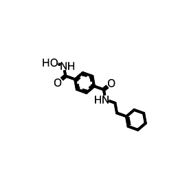 O=C(NO)c1ccc(C(=O)NCCC2=CCCCC2)cc1